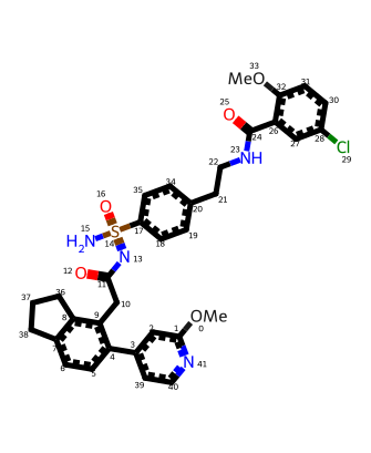 COc1cc(-c2ccc3c(c2CC(=O)N=S(N)(=O)c2ccc(CCNC(=O)c4cc(Cl)ccc4OC)cc2)CCC3)ccn1